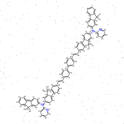 CC1(C)c2ccccc2-c2ccc(N(c3ccc4c(c3)C(C)(C)c3cc(/C=C/c5ccc(-c6ccc(/C=C/c7ccc8c(c7)C(C)(C)c7cc(N(c9ccc%10c(c9)C(C)(C)c9ccccc9-%10)c9ccccn9)ccc7-8)cc6)cc5)ccc3-4)c3ccccn3)cc21